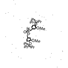 COc1cc(CO[PH](=O)OCc2ccc(O[Si](C(C)C)(C(C)C)C(C)C)c(OC)c2)ccc1O[Si](C(C)C)(C(C)C)C(C)C